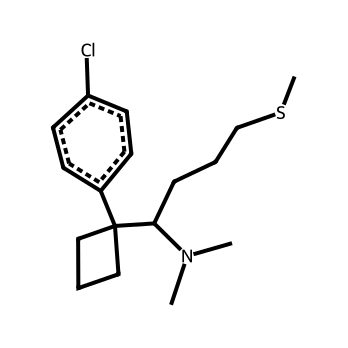 CSCCCC(N(C)C)C1(c2ccc(Cl)cc2)CCC1